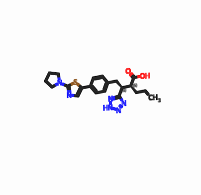 CCC[C@H](C(=O)O)[C@H](Cc1ccc(-c2cnc(N3CCCC3)s2)cc1)c1nn[nH]n1